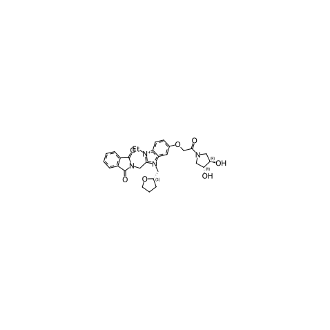 CC[n+]1c(CN2C(=O)c3ccccc3C2=O)n(C[C@@H]2CCCO2)c2cc(OCC(=O)N3C[C@@H](O)[C@H](O)C3)ccc21